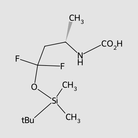 C[C@@H](CC(F)(F)O[Si](C)(C)C(C)(C)C)NC(=O)O